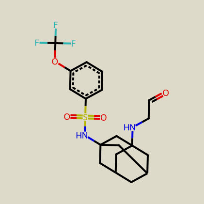 O=CCNC12CC3CC(C1)CC(NS(=O)(=O)c1cccc(OC(F)(F)F)c1)(C3)C2